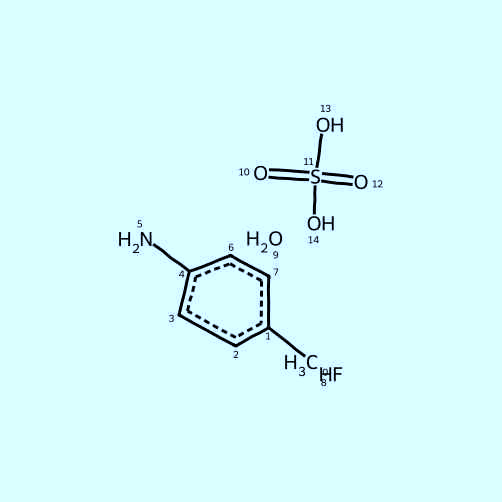 Cc1ccc(N)cc1.F.O.O=S(=O)(O)O